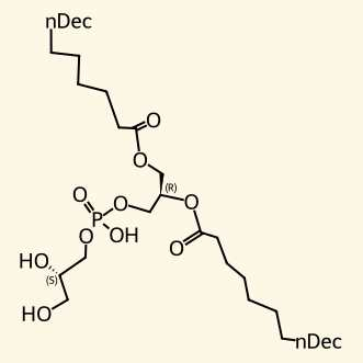 CCCCCCCCCCCCCCCCC(=O)O[C@H](COC(=O)CCCCCCCCCCCCCCC)COP(=O)(O)OC[C@@H](O)CO